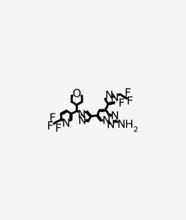 Nc1nc2c(-c3cnn(CC(F)(F)F)c3)cc(-c3cnn(C(c4ccc(C(F)(F)F)nc4)C4CCOCC4)c3)cn2n1